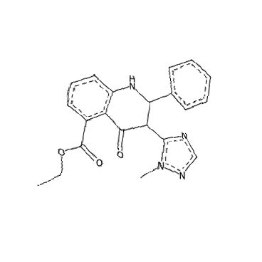 CCOC(=O)c1cccc2c1C(=O)C(c1ncnn1C)C(c1ccccc1)N2